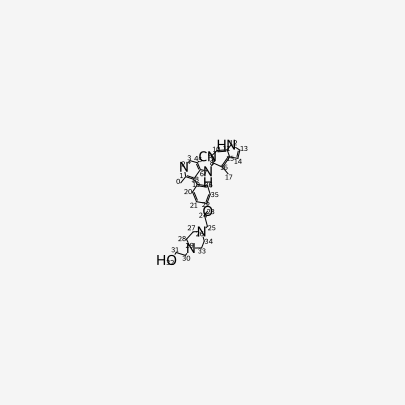 Cc1ncc(C#N)c(Nc2ccc3[nH]ccc3c2C)c1-c1ccc(OCCN2CCN(CCO)CC2)cc1